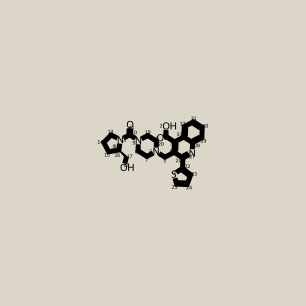 O=C(O)c1c(CN2CCN(C(=O)N3CCC[C@@H]3CO)CC2)c(-c2cccs2)nc2ccccc12